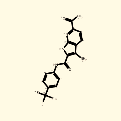 CC(=O)c1ccc2c(N)c(C(=O)Nc3ccc(C(F)(F)F)cc3)sc2n1